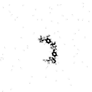 CCC(C)(Oc1ccc(/C=N/N(C)[PH](=S)C(C)(CC)Oc2ccc(NCP(=O)(O)OC)c(N=O)c2)cc1)P(N)P(N)PN